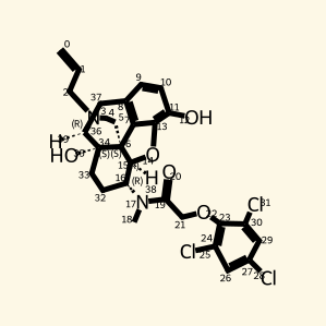 C=CCN1CC[C@]23c4c5ccc(O)c4O[C@H]2[C@H](N(C)C(=O)COc2c(Cl)cc(Cl)cc2Cl)CC[C@@]3(O)[C@H]1C5